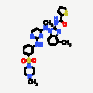 Cc1cccc2c1nc(NC(=O)c1cccs1)n2N(C)c1ccnc(Nc2cccc(S(=O)(=O)N3CCN(C)CC3)c2)n1